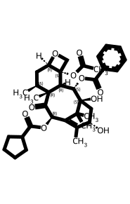 CC(=O)O[C@@]12CO[C@@H]1C[C@H](C)[C@@]1(C)C(=O)[C@H](OC(=O)C3CCCC3)C3=C(C)[C@@H](O)C[C@@](O)([C@@H](OC(=O)c4ccccc4)[C@H]21)C3(C)C